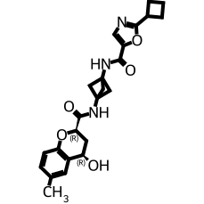 Cc1ccc2c(c1)[C@H](O)C[C@H](C(=O)NC13CC(NC(=O)c4cnc(C5CCC5)o4)(C1)C3)O2